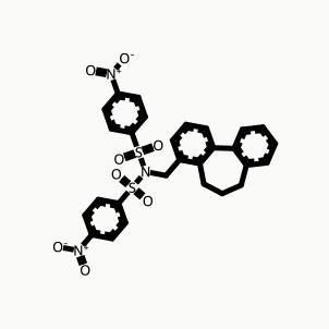 O=[N+]([O-])c1ccc(S(=O)(=O)N(Cc2cccc3c2CCCc2ccccc2-3)S(=O)(=O)c2ccc([N+](=O)[O-])cc2)cc1